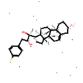 C[C@@](O)([C@H](O)Cc1ccc(F)cc1)[C@H]1CC[C@H]2[C@@H]3CC=C4C[C@@H](O)CC[C@]4(C)[C@H]3CC[C@]12C